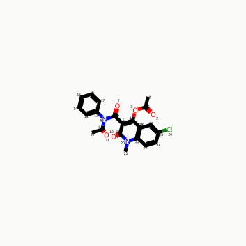 CC(=O)Oc1c(C(=O)N(C(C)=O)c2ccccc2)c(=O)n(C)c2ccc(Cl)cc12